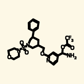 NC(OC(=O)C(F)(F)F)c1ccnc(OCC2CC(c3ccccc3)CN(S(=O)(=O)N3CCOCC3)C2)c1